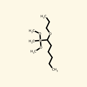 CCCCCC(OCCC)[Si](C)(OC)OC